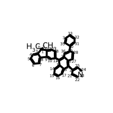 CC1(C)c2ccccc2-c2cc(-c3c4ccccc4c(-c4ccncc4)c4ccc(-c5ccccc5)cc34)ccc21